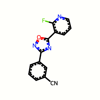 N#Cc1cccc(-c2noc(-c3cccnc3F)n2)c1